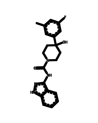 Cc1cc(F)cc(C2(O)CCN(C(=O)Nc3n[nH]c4ccccc34)CC2)c1